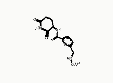 O=C(O)NCc1ncc(C(=O)NC2CCC(=O)NC2=O)s1